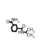 CC(C)NC(=O)c1cccc(C(N)=O)c1